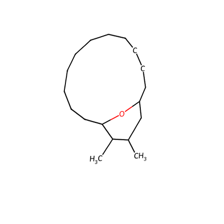 CC1CC2CCCCCCCCCCCC(O2)C1C